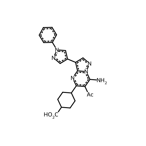 CC(=O)c1c(C2CCC(C(=O)O)CC2)nc2c(-c3cnn(-c4ccccc4)c3)cnn2c1N